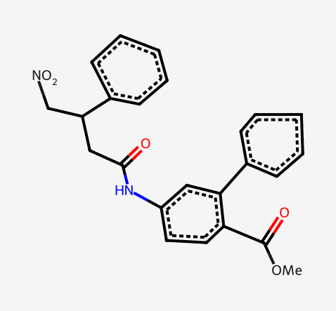 COC(=O)c1ccc(NC(=O)CC(C[N+](=O)[O-])c2ccccc2)cc1-c1ccccc1